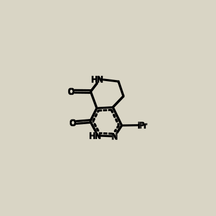 CC(C)c1n[nH]c(=O)c2c1CCNC2=O